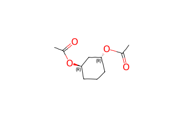 CC(=O)O[C@@H]1CCC[C@@H](OC(C)=O)C1